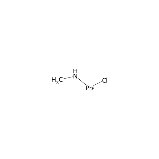 C[NH][Pb][Cl]